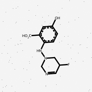 O=C(O)c1cc(O)ccc1NN1CN=CC(F)C1